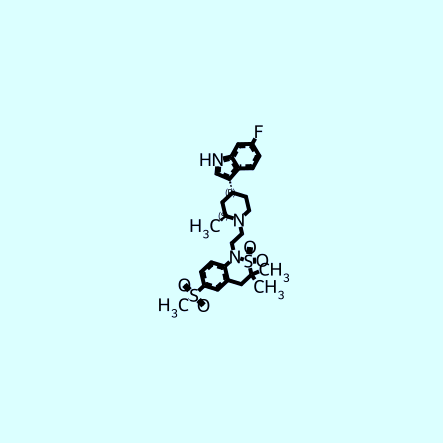 C[C@H]1C[C@H](c2c[nH]c3cc(F)ccc23)CCN1CCN1c2ccc(S(C)(=O)=O)cc2CC(C)(C)S1(=O)=O